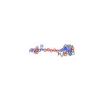 COc1nc(Nc2cc(S(C)(=O)=O)ccc2N[C@@H](c2cccc3c2OC(F)(F)O3)c2ncccc2Cl)nc(N2CCN(CCOCCOCCOCCOCCOCCNc3ccc4c(c3)C(=O)N(C3CCC(=O)NC3=O)C4=O)CC2)n1